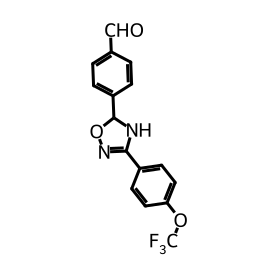 O=Cc1ccc(C2NC(c3ccc(OC(F)(F)F)cc3)=NO2)cc1